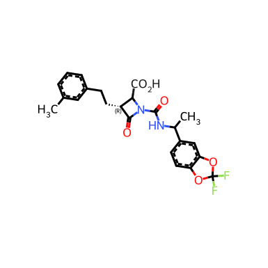 Cc1cccc(CC[C@H]2C(=O)N(C(=O)NC(C)c3ccc4c(c3)OC(F)(F)O4)C2C(=O)O)c1